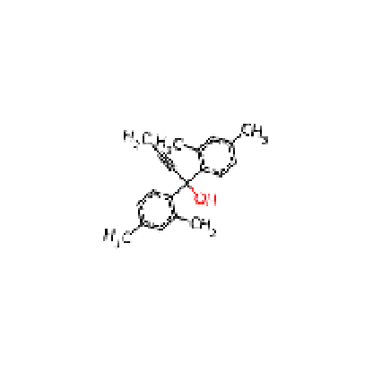 CC#CC(O)(c1ccc(C)cc1C)c1ccc(C)cc1C